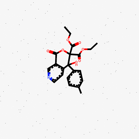 CCOC(=O)C1(C(=O)OCC)OC(=O)c2cnccc2C1(O)c1ccc(C)cc1